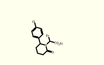 CCOC(=O)C(CC)N1C(=O)CCCC1c1ccc(Cl)cc1